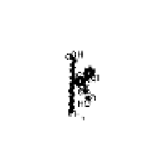 CCCCCCCCCCCCCCCCCC(=O)O.O=C(O)COC(=O)Cc1ccccc1Nc1c(Cl)cccc1Cl